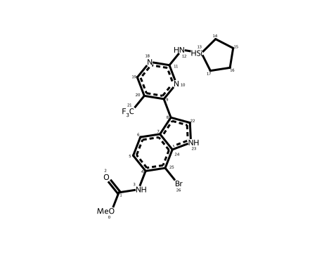 COC(=O)Nc1ccc2c(-c3nc(N[SiH]4CCCC4)ncc3C(F)(F)F)c[nH]c2c1Br